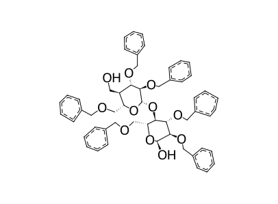 OC[C@H]1[C@H](OCc2ccccc2)[C@@H](OCc2ccccc2)[C@H](O[C@H]2[C@H](OCc3ccccc3)[C@@H](OCc3ccccc3)[C@@H](O)O[C@@H]2COCc2ccccc2)O[C@@H]1COCc1ccccc1